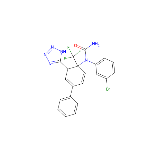 NC(=O)N(c1cccc(Br)c1)C1(C(F)(F)F)C=CC(c2ccccc2)=CC1c1nnn[nH]1